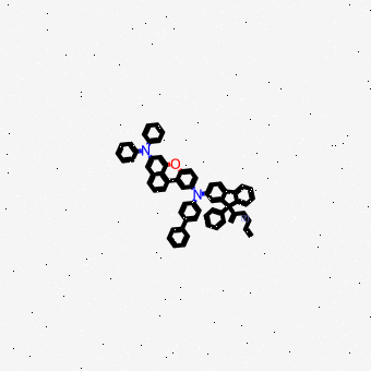 C=C/C=C\C(=C)C1(c2ccccc2)c2ccccc2-c2ccc(N(c3ccc(-c4ccccc4)cc3)c3ccc4c(c3)-c3cccc5cc(N(c6ccccc6)c6ccccc6)cc(c35)O4)cc21